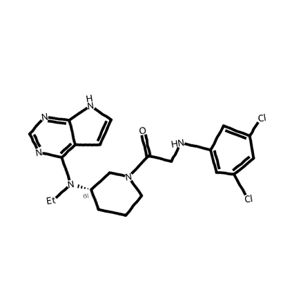 CCN(c1ncnc2[nH]ccc12)[C@H]1CCCN(C(=O)CNc2cc(Cl)cc(Cl)c2)C1